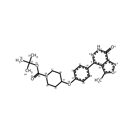 Cc1onc2c(=O)[nH]nc(-c3ccc(OC4CCN(C(=O)OC(C)(C)C)CC4)cc3)c12